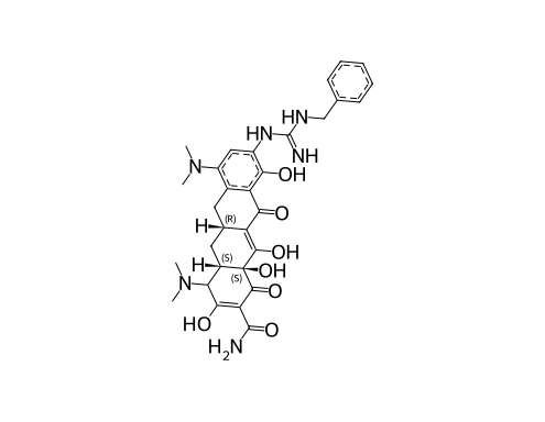 CN(C)c1cc(NC(=N)NCc2ccccc2)c(O)c2c1C[C@H]1C[C@H]3C(N(C)C)C(O)=C(C(N)=O)C(=O)[C@@]3(O)C(O)=C1C2=O